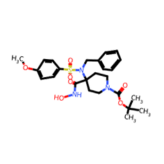 COc1ccc(S(=O)(=O)N(Cc2ccccc2)C2(C(=O)NO)CCN(C(=O)OC(C)(C)C)CC2)cc1